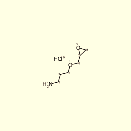 Cl.NCCCOCC1CO1